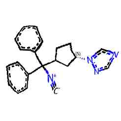 [C-]#[N+]C(c1ccccc1)(c1ccccc1)C1CC[C@H](n2cncn2)C1